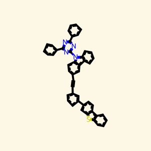 C(#Cc1ccc2c(c1)c1ccccc1n2-c1nc(-c2ccccc2)nc(-c2ccccc2)n1)c1cccc(-c2ccc3c(c2)sc2ccccc23)c1